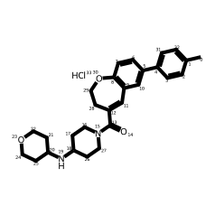 Cc1ccc(-c2ccc3c(c2)C=C(C(=O)N2CCC(NC4CCOCC4)CC2)CCO3)cc1.Cl